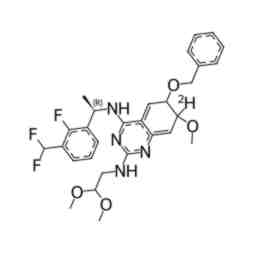 [2H]C1(OC)C=c2nc(NCC(OC)OC)nc(N[C@H](C)c3cccc(C(F)F)c3F)c2=CC1OCc1ccccc1